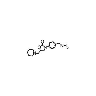 NCc1ccc(N2CC(CN3CCCCC3)OC2=O)cc1